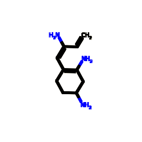 C=C/C(N)=C\C1=C(N)CC(N)CC1